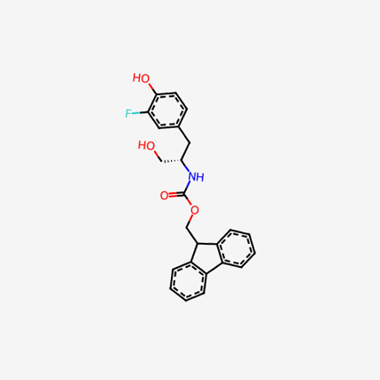 O=C(N[C@H](CO)Cc1ccc(O)c(F)c1)OCC1c2ccccc2-c2ccccc21